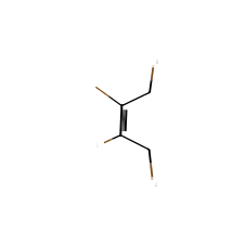 BrC/C(Br)=C(/Br)CBr